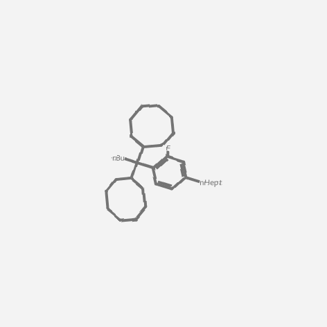 CCC[CH]C(c1ccc(CCCCCCC)cc1F)(C1CCCCCCC1)C1CCCCCCC1